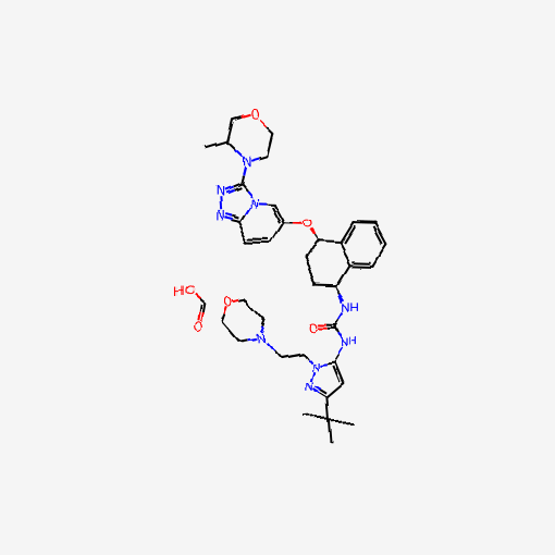 CC1COCCN1c1nnc2ccc(O[C@@H]3CC[C@H](NC(=O)Nc4cc(C(C)(C)C)nn4CCN4CCOCC4)c4ccccc43)cn12.O=CO